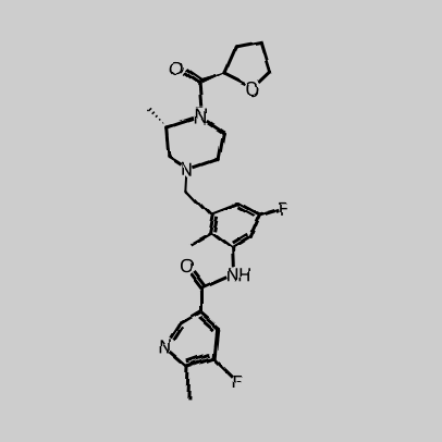 Cc1ncc(C(=O)Nc2cc(F)cc(CN3CCN(C(=O)[C@H]4CCCO4)[C@@H](C)C3)c2C)cc1F